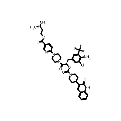 CN(C)CCOC(=O)c1ccc(N2CCN(C(=O)[C@@H](Cc3cc(Cl)c(N)c(C(F)(F)F)c3)OC(=O)N3CCC(c4cc5ccccc5[nH]c4=O)CC3)CC2)nc1